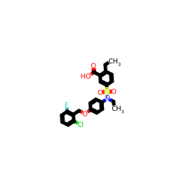 CCc1ccc(S(=O)(=O)N(CC)c2ccc(OCc3c(F)cccc3Cl)cc2)cc1C(=O)O